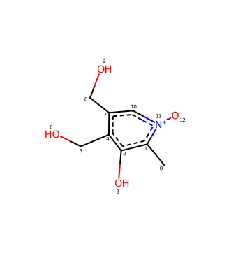 Cc1c(O)c(CO)c(CO)c[n+]1[O-]